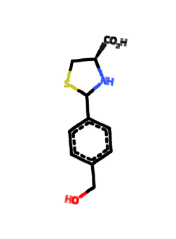 O=C(O)[C@@H]1CSC(c2ccc(CO)cc2)N1